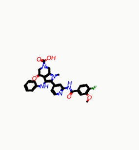 COc1cc(C(=O)Nc2cc(-c3c(Nc4ccccc4)c4c(n3C)CN(C(=O)O)CC4=O)ccn2)ccc1F